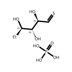 CC[C@@H](O)[C@@H](O)[C@@H](O)C=S.O=P(O)(O)O